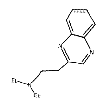 CCN(CC)CCc1cnc2ccccc2n1